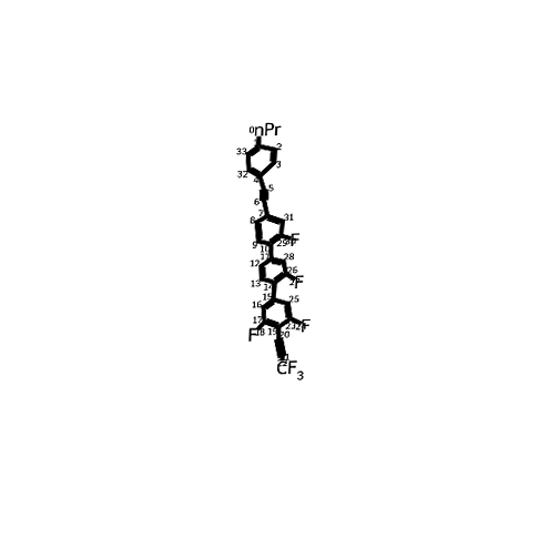 CCCc1ccc(C#Cc2ccc(-c3ccc(-c4cc(F)c(C#CC(F)(F)F)c(F)c4)c(F)c3)c(F)c2)cc1